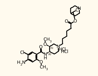 COc1cc(N)c(Cl)cc1C(=O)N[C@@H]1CCN(CCCCCC(=O)OC2CN3CCC2CC3)C[C@@H]1OC.Cl.Cl